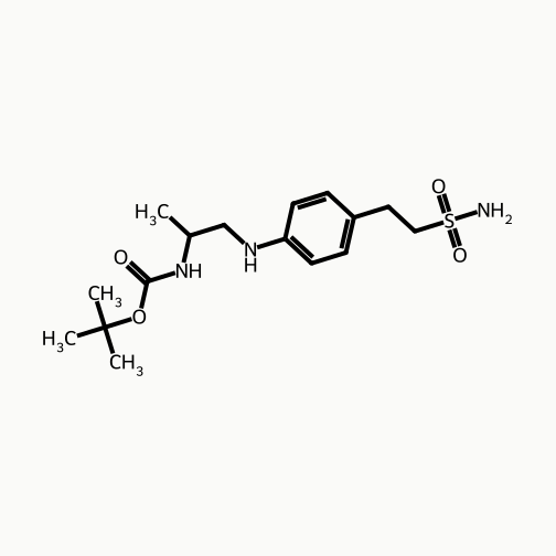 CC(CNc1ccc(CCS(N)(=O)=O)cc1)NC(=O)OC(C)(C)C